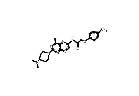 Cc1nc(N2CCC(N(C)C)CC2)nc2ncc(NC(=O)COc3ccc(C(F)(F)F)cc3)nc12